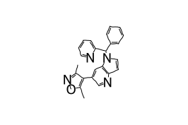 Cc1noc(C)c1-c1cnc2ccn(C(c3ccccc3)c3ccccn3)c2c1